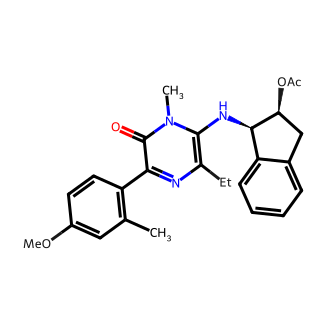 CCc1nc(-c2ccc(OC)cc2C)c(=O)n(C)c1N[C@@H]1c2ccccc2C[C@@H]1OC(C)=O